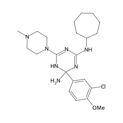 COc1ccc(C2(N)N=C(NC3CCCCCC3)N=C(N3CCN(C)CC3)N2)cc1Cl